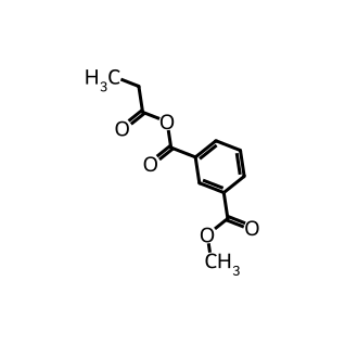 CCC(=O)OC(=O)c1cccc(C(=O)OC)c1